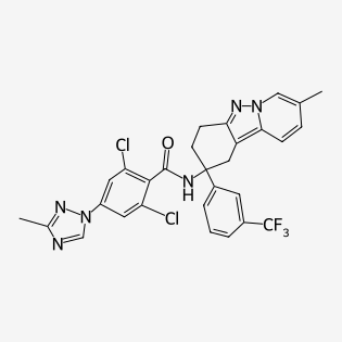 Cc1ccc2c3c(nn2c1)CCC(NC(=O)c1c(Cl)cc(-n2cnc(C)n2)cc1Cl)(c1cccc(C(F)(F)F)c1)C3